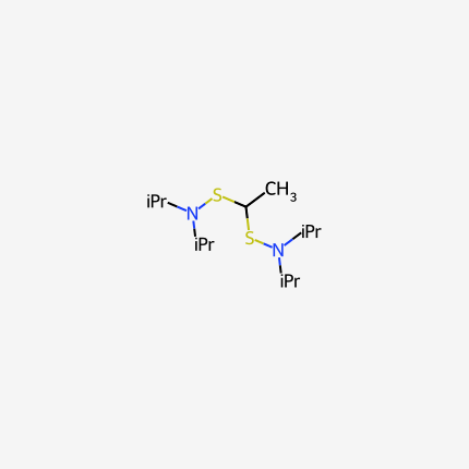 CC(SN(C(C)C)C(C)C)SN(C(C)C)C(C)C